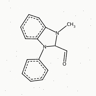 CN1c2ccccc2N(c2ccccc2)C1C=O